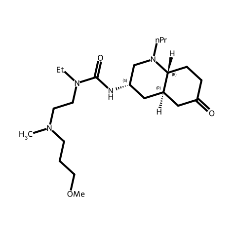 CCCN1C[C@@H](NC(=O)N(CC)CCN(C)CCCOC)C[C@@H]2CC(=O)CC[C@H]21